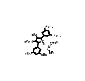 CCCCCC1=C(c2cc(CCCC)cc(CCCC)c2)[N+](=[N-])C(c2cc(CCCCC)cc(CCCCC)c2)=C1CCCC.CCC[O][Ni][O]CCC